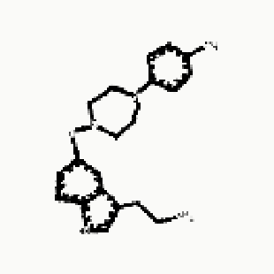 N#Cc1ccc(N2CCN(Oc3ccc4[nH]cc(CCN)c4c3)CC2)cc1